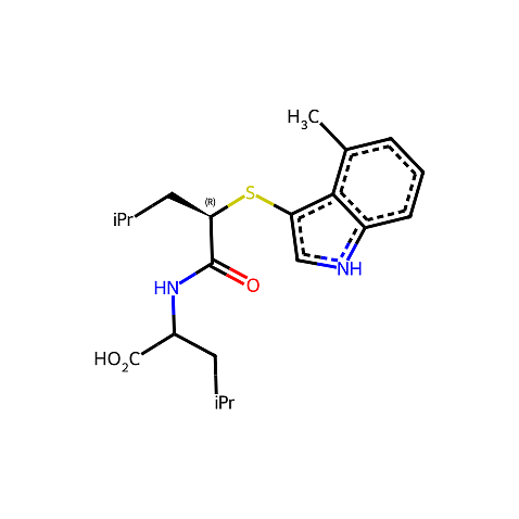 Cc1cccc2[nH]cc(S[C@H](CC(C)C)C(=O)NC(CC(C)C)C(=O)O)c12